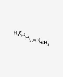 C/C=C/C#CCCCCCC